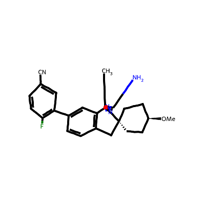 CO[C@H]1CC[C@]2(CC1)Cc1ccc(-c3cc(C#N)ccc3F)cc1C21N=C(C)C(N)=N1